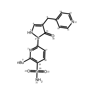 CCCCc1nc(-n2[nH]cc(Cc3ccncc3)c2=O)ccc1S(N)(=O)=O